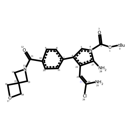 CC(C)(C)OC(=O)n1cc(-c2ccc(C(=O)N3CC4(COC4)C3)cc2)c(/C=C(\N)Cl)c1N